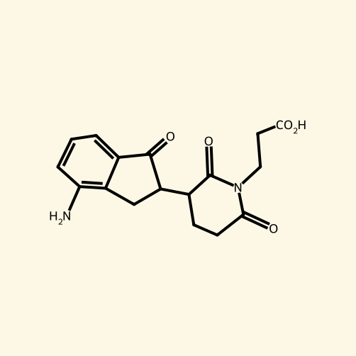 Nc1cccc2c1CC(C1CCC(=O)N(CCC(=O)O)C1=O)C2=O